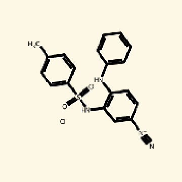 Cc1ccc(S(=O)(=O)Nc2cc([N+]#N)ccc2Nc2ccccc2)cc1.[Cl-]